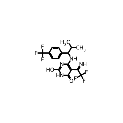 CC(C)C(Nc1nc(O)[nH]c(=O)c1C(=N)C(F)(F)F)c1ccc(C(F)(F)F)cc1